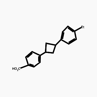 CCc1ccc(C2CC(c3ccc(C(=O)O)cc3)C2)cc1